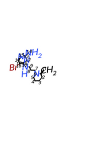 C=C1CCCCN1CCCNc1nc(N)ncc1Br